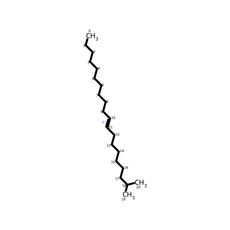 CCCCCCCCCC/C=C/CCCCCCC(C)C